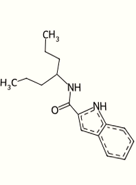 CCCC(CCC)NC(=O)c1cc2ccccc2[nH]1